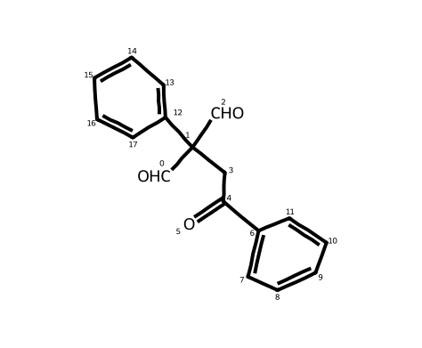 O=CC(C=O)(CC(=O)c1ccccc1)c1ccccc1